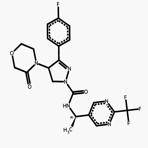 C[C@@H](NC(=O)N1CC(N2CCOCC2=O)C(c2ccc(F)cc2)=N1)c1cnc(C(F)(F)F)nc1